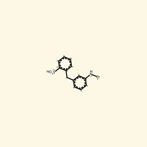 CCNc1cccc(Cc2ccccc2S(=O)(=O)O)c1